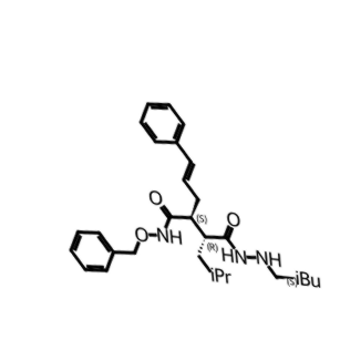 CC[C@H](C)CNNC(=O)[C@H](CC(C)C)[C@H](CC=Cc1ccccc1)C(=O)NOCc1ccccc1